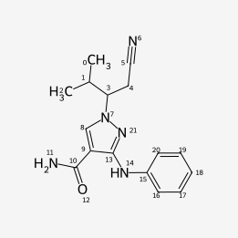 CC(C)C(CC#N)n1cc(C(N)=O)c(Nc2ccccc2)n1